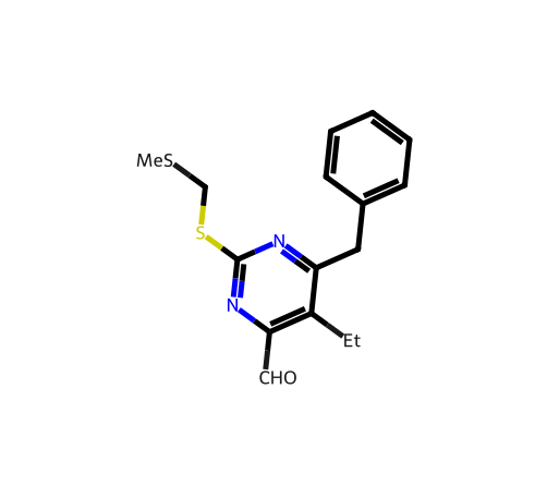 CCc1c(C=O)nc(SCSC)nc1Cc1ccccc1